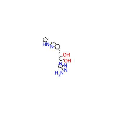 Nc1ncnc2c1ccn2[C@@H]1C[C@H](CCc2ccc3ccc(NC4CCCC4)nc3c2)[C@@H](O)[C@H]1O